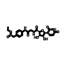 CCO[PH](=O)Cc1ccc(NC(=O)CNC(=O)[C@H]2O[C@@H](n3ccc(=O)[nH]c3=O)[C@H](O)[C@@H]2O)cc1